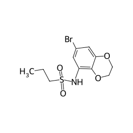 CCCS(=O)(=O)Nc1cc(Br)cc2c1OCCO2